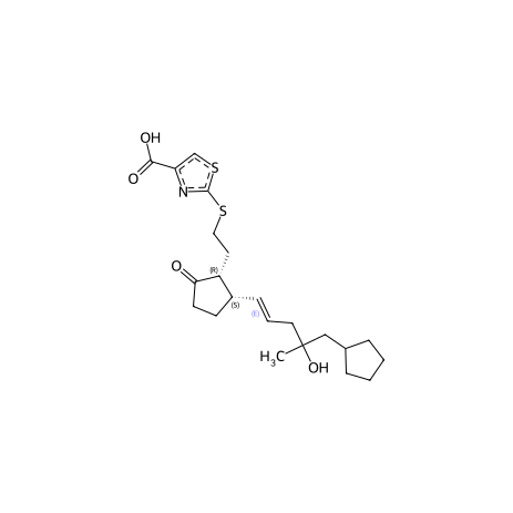 CC(O)(C/C=C/[C@@H]1CCC(=O)[C@@H]1CCSc1nc(C(=O)O)cs1)CC1CCCC1